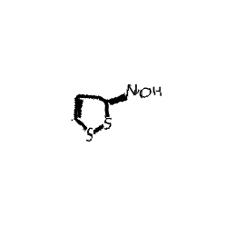 ON=c1c[c]ss1